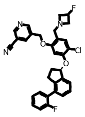 N#Cc1cncc(COc2cc(O[C@H]3CCc4c(-c5ccccc5F)cccc43)c(Cl)cc2CN2CC(F)C2)c1